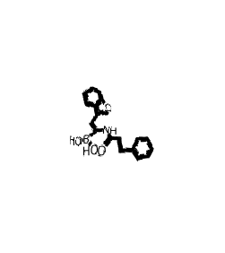 O=C(CCc1ccccc1)NC(Cc1coc2ccccc12)B(O)O